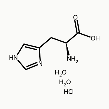 Cl.N[C@@H](Cc1c[nH]cn1)C(=O)O.O.O